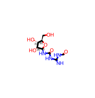 N=C(NC=O)NC(=O)N[C@@H]1O[C@H](CO)[C@@H](O)[C@H]1O